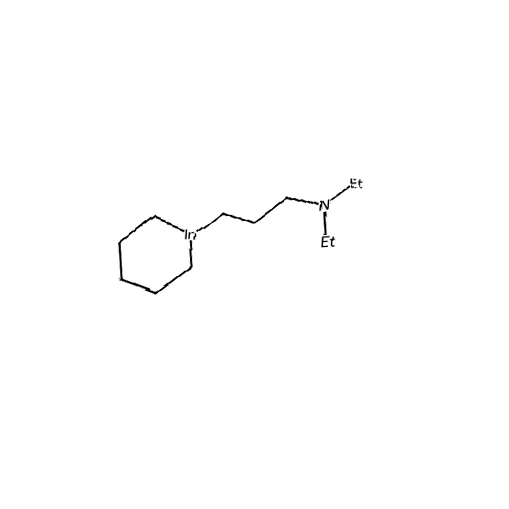 CCN(CC)CC[CH2][In]1[CH2]CCC[CH2]1